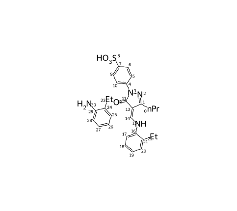 CCCC1=NN(c2ccc(S(=O)(=O)O)cc2)C(=O)/C1=C/Nc1ccccc1CC.CCc1ccccc1N